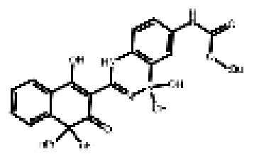 CCCC1(CCC)C(=O)C(C2=NS(O)(O)c3cc(NC(=O)OC(C)(C)C)ccc3N2)=C(O)c2ccccc21